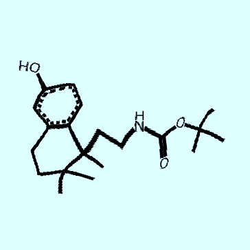 CC(C)(C)OC(=O)NCCC1(C)c2ccc(O)cc2CCC1(C)C